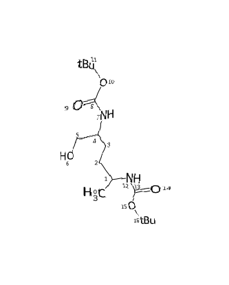 CC(CCC(CO)NC(=O)OC(C)(C)C)NC(=O)OC(C)(C)C